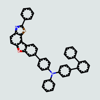 c1ccc(-c2nc3ccc4oc5cc(-c6ccc(N(c7ccccc7)c7ccc(-c8ccccc8-c8ccccc8)cc7)cc6)ccc5c4c3s2)cc1